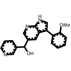 COc1ccccc1-c1c[nH]c2ncc(C(O)c3cccnc3)cc12